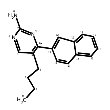 CCCCc1cnc(N)nc1-c1ccc2ccccc2c1